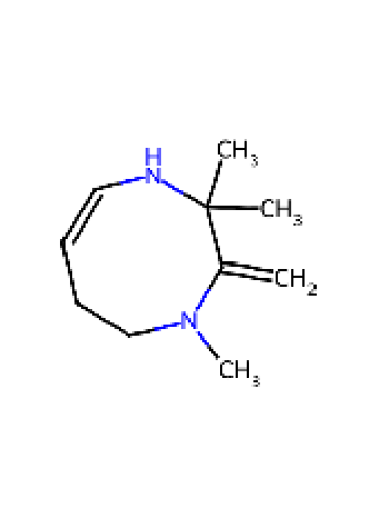 C=C1N(C)CC/C=C\NC1(C)C